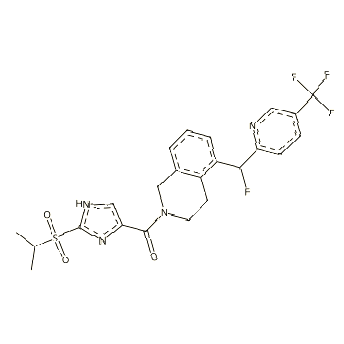 CC(C)S(=O)(=O)c1nc(C(=O)N2CCc3c(cccc3C(F)c3ccc(C(F)(F)F)cn3)C2)c[nH]1